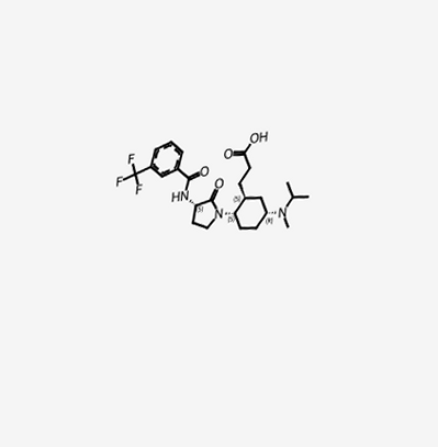 CC(C)N(C)[C@@H]1CC[C@H](N2CC[C@H](NC(=O)c3cccc(C(F)(F)F)c3)C2=O)[C@@H](CCC(=O)O)C1